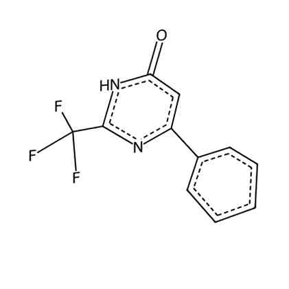 O=c1cc(-c2ccccc2)nc(C(F)(F)F)[nH]1